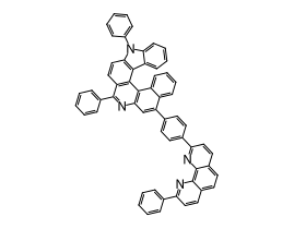 c1ccc(-c2ccc3ccc4ccc(-c5ccc(-c6cc7nc(-c8ccccc8)c8ccc9c(c%10ccccc%10n9-c9ccccc9)c8c7c7ccccc67)cc5)nc4c3n2)cc1